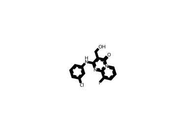 O=c1c(CO)c(Nc2cccc(Cl)c2)nc2c(I)cccn12